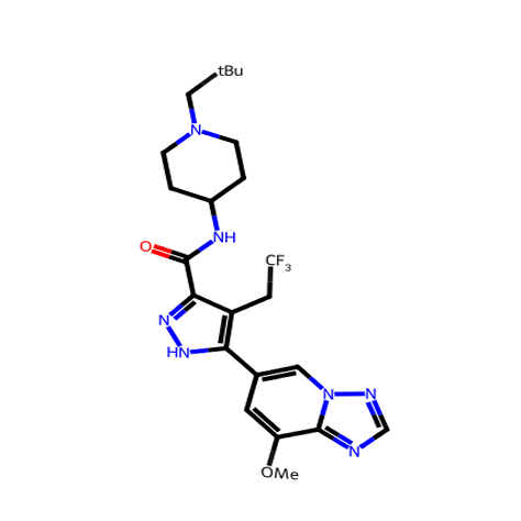 COc1cc(-c2[nH]nc(C(=O)NC3CCN(CC(C)(C)C)CC3)c2CC(F)(F)F)cn2ncnc12